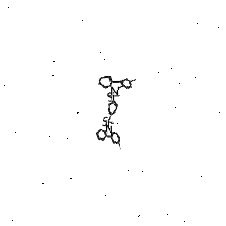 Cc1ccc2c(c1)c1ccccc1n2[Si](C)(C)c1ccc([Si](C)(C)n2c3ccccc3c3cc(C)ccc32)cc1